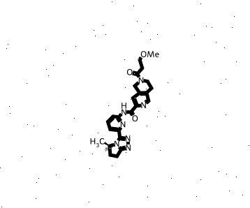 COCCC(=O)N1CCc2cnc(C(=O)Nc3cccc(-c4nnc5n4[C@H](C)CC5)n3)cc2C1